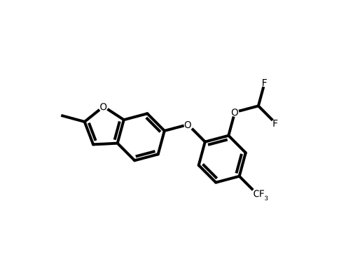 Cc1cc2ccc(Oc3ccc(C(F)(F)F)cc3OC(F)F)cc2o1